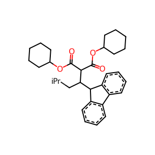 CC(C)CC(C(C(=O)OC1CCCCC1)C(=O)OC1CCCCC1)C1c2ccccc2-c2ccccc21